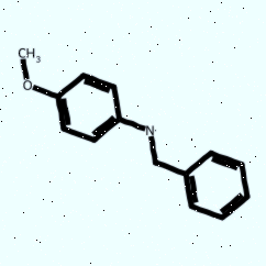 COc1ccc([N]Cc2ccccc2)cc1